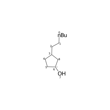 CCCCCCC1CC[C](O)C1